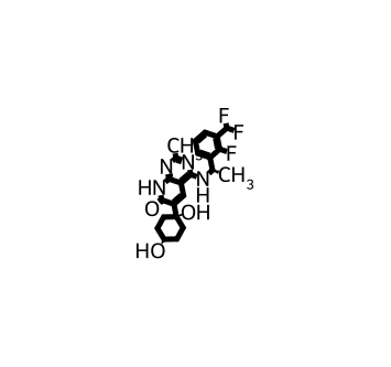 Cc1nc(N[C@H](C)c2cccc(C(F)F)c2F)c2cc([C@]3(O)CC[C@@H](O)CC3)c(=O)[nH]c2n1